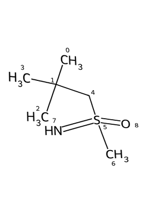 CC(C)(C)CS(C)(=N)=O